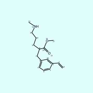 C=Cc1cccc(CC(CCCNC)C(=O)OC)c1